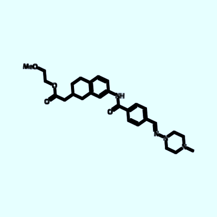 COCCOC(=O)CC1CCc2ccc(NC(=O)c3ccc(C=NN4CCN(C)CC4)cc3)cc2C1